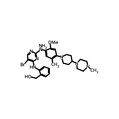 COc1cc(N2CCC(N3CCN(C)CC3)CC2)c(C)cc1N(N)c1ncc(Br)c(Nc2ccccc2CO)n1